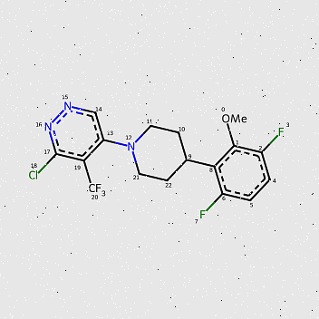 COc1c(F)ccc(F)c1C1CCN(c2cnnc(Cl)c2C(F)(F)F)CC1